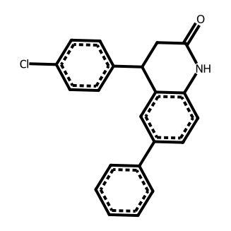 O=C1CC(c2ccc(Cl)cc2)c2cc(-c3ccccc3)ccc2N1